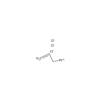 C=C[CH2][Pt+3].[Cl-].[Cl-].[Cl-]